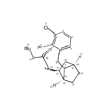 CC(C)c1c(Cl)cccc1CN1[C@@H]2CC[C@H]1[C@@H](NC(=O)OC(C)(C)C)C2